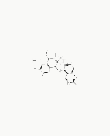 CCC1CC(O)(C(F)(F)F)C(Nc2cc(F)cc3nc(C)ncc23)c2cc(F)c(F)c(O)c21